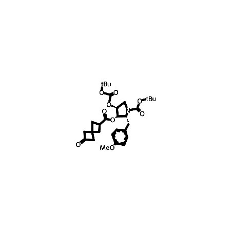 COc1ccc(C[C@@H]2[C@H](OC(=O)C3CC4(CC(=O)C4)C3)[C@@H](OC(=O)OC(C)(C)C)CN2C(=O)OC(C)(C)C)cc1